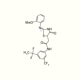 COc1ccccc1/N=C1\NC(=O)C(CC(=O)Nc2cc(C(C)(F)F)cc(C(F)(F)F)c2)S1